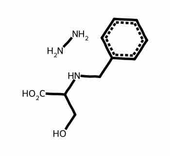 NN.O=C(O)C(CO)NCc1ccccc1